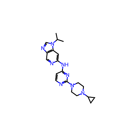 CC(C)n1cnc2cnc(Nc3ccnc(N4CCN(C5CC5)CC4)n3)cc21